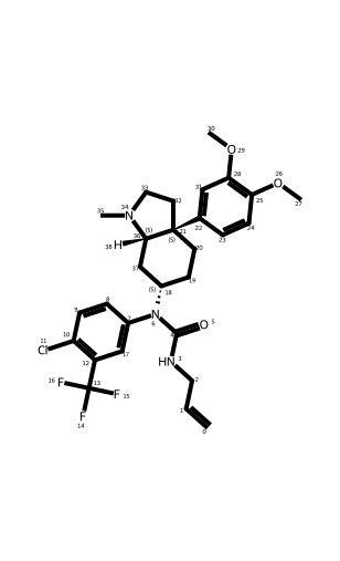 C=CCNC(=O)N(c1ccc(Cl)c(C(F)(F)F)c1)[C@H]1CC[C@@]2(c3ccc(OC)c(OC)c3)CCN(C)[C@H]2C1